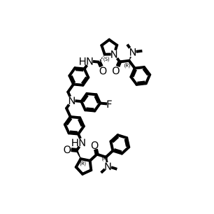 CN(C)[C@@H](C(=O)C1CCC[C@H]1C(=O)Nc1ccc(CN(Cc2ccc(NC(=O)[C@@H]3CCCN3C(=O)[C@@H](c3ccccc3)N(C)C)cc2)c2ccc(F)cc2)cc1)c1ccccc1